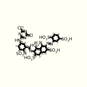 Nc1c(/N=N/c2cc(S(=O)(=O)O)ccc2S(=O)(=O)O)c(S(=O)(=O)O)cc2cc(S(=O)(=O)O)c(N=Nc3cc(Nc4nc(Cl)nc(Cl)n4)ccc3S(=O)(=O)O)c(O)c12